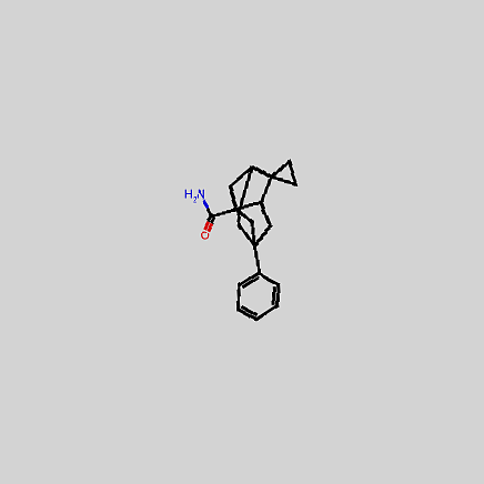 NC(=O)C12CC3CC(c4ccccc4)(CC1C31CC1)C2